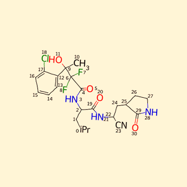 CC(C)CC(NC(=O)C(F)(F)C(C)(O)c1ccccc1Cl)C(=O)NC(C#N)CC1CCNC1=O